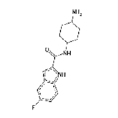 NC1CCC(NC(=O)c2cc3cc(F)ccc3[nH]2)CC1